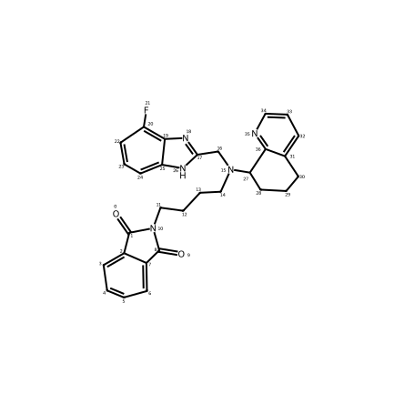 O=C1c2ccccc2C(=O)N1CCCCN(Cc1nc2c(F)cccc2[nH]1)C1CCCc2cccnc21